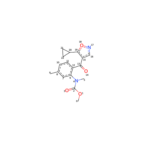 COC(=O)N(C)c1cc(C)ccc1C(=O)c1cnoc1C1CC1